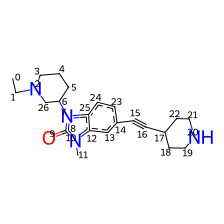 CCN1CCCC(n2c(=O)n(C)c3cc(C#CC4CCNCC4)ccc32)C1